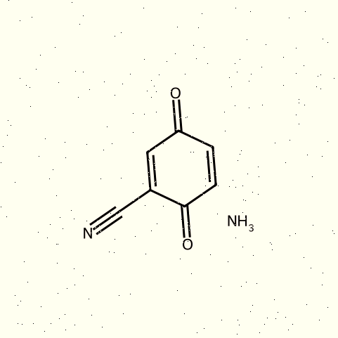 N.N#CC1=CC(=O)C=CC1=O